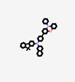 CC1(C)c2ccccc2-c2ccc(N(c3ccc(-c4ccc5c(c4)Oc4ccccc4N5c4ccccc4)cc3)c3ccc4ccccc4c3)cc21